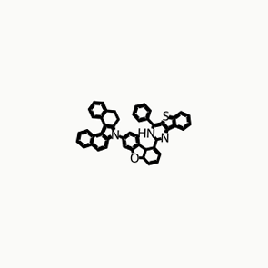 C1=CC2Oc3cc(-n4c5c(c6c7ccccc7ccc64)-c4ccccc4CC5)ccc3C2C(C2N=c3c(sc4ccccc34)=C(c3ccccc3)N2)=C1